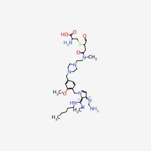 C=N/C(NCCCCC)=C1\C(=N/CN)C=CN1Cc1ccc(CN2CCN(CCN(C)C(=O)CC(C=O)SCC(N)C(=O)O)CC2)cc1OC